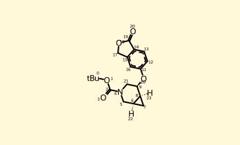 CC(C)(C)OC(=O)N1C[C@@H]2C[C@@H]2[C@H](Oc2ccc3c(c2)COC3=O)C1